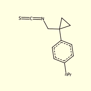 CCCc1ccc(C2(CN=C=S)CC2)cc1